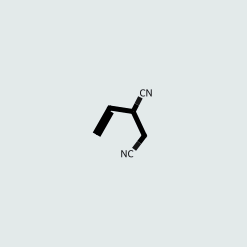 C=CC(C#N)CC#N